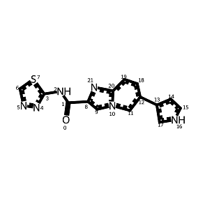 O=C(Nc1nncs1)c1cn2cc(-c3cc[nH]c3)ccc2n1